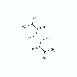 CC(C)C(=O)C(N)C(N)C(=O)C(C)C